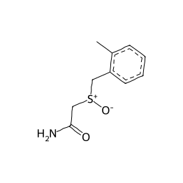 Cc1ccccc1C[S+]([O-])CC(N)=O